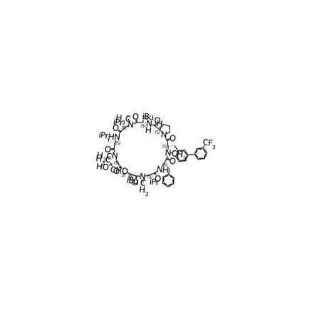 CC[C@H](C)[C@@H]1NC(=O)[C@@H]2CCCN2C(=O)[C@H](Cc2cccc(-c3cccc(C(F)(F)F)c3)c2)N(C)C(=O)[C@H](Cc2ccccc2)NC(=O)[C@H](C(C)C)N(C)C(=O)[C@@H]([C@@H](C)CC)OC(=O)[C@H](C(C)(C)O)N(C)C(=O)[C@H](CC(C)C)NC(=O)[C@H](C(C)C)N(C)C1=O